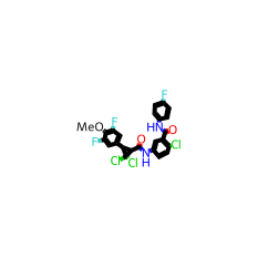 COc1c(F)cc(C2C(C(=O)Nc3ccc(Cl)c(C(=O)Nc4ccc(F)cc4)c3)C2(Cl)Cl)cc1F